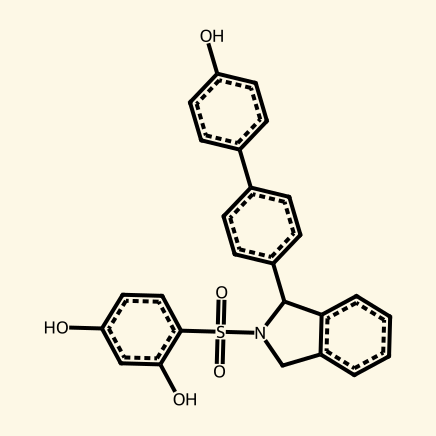 O=S(=O)(c1ccc(O)cc1O)N1Cc2ccccc2C1c1ccc(-c2ccc(O)cc2)cc1